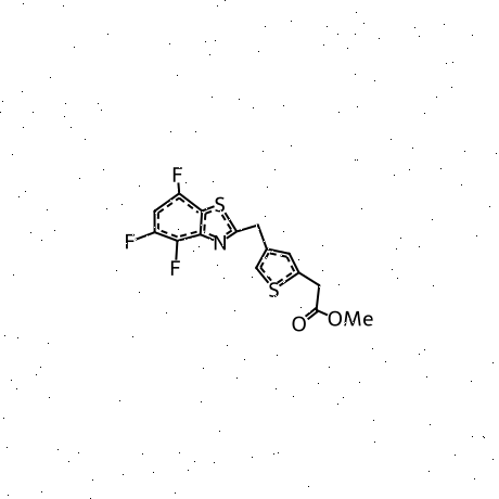 COC(=O)Cc1cc(Cc2nc3c(F)c(F)cc(F)c3s2)cs1